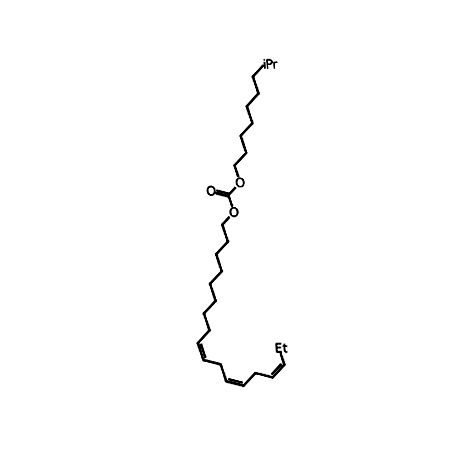 CC/C=C\C/C=C\C/C=C\CCCCCCCCOC(=O)OCCCCCCCC(C)C